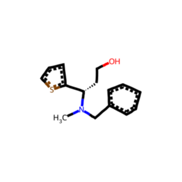 CN(Cc1ccccc1)[C@@H](CCO)c1cccs1